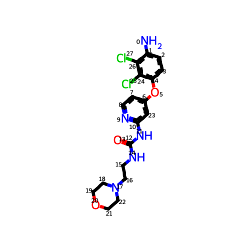 Nc1ccc(Oc2ccnc(NC(=O)NCCN3CCOCC3)c2)c(Cl)c1Cl